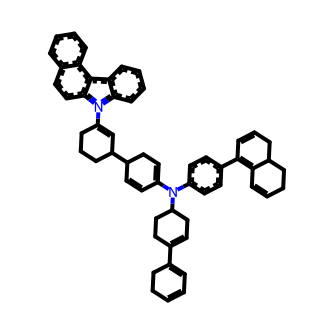 C1=CCCC(C2=CCC(N(C3=CCC(C4C=C(n5c6ccccc6c6c7ccccc7ccc65)CCC4)C=C3)c3ccc(C4=C5C=CCCC5CC=C4)cc3)CC2)=C1